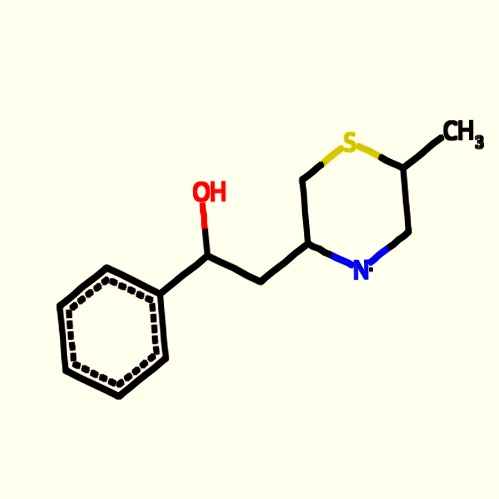 CC1C[N]C(CC(O)c2ccccc2)CS1